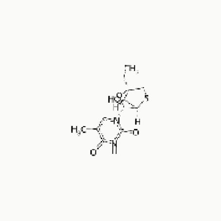 CC[C@@]12CS[C@@H]([C@H](n3cc(C)c(=O)[nH]c3=O)O1)[C@@H]2O